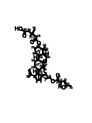 C=C(C)[C@@H]1CC[C@]2(CCOC(=O)c3cc(C)on3)CC[C@]3(C)[C@H](CC[C@@H]4[C@@]5(C)CC[C@H](OC(=O)CC(C)(C)CC(=O)O)C(C)(C)[C@@H]5CC[C@]43C)[C@@H]12